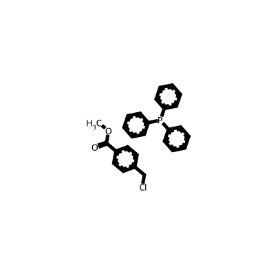 COC(=O)c1ccc(CCl)cc1.c1ccc(P(c2ccccc2)c2ccccc2)cc1